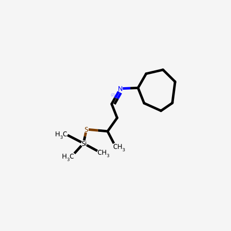 CC(C/C=N\C1CCCCCC1)S[Si](C)(C)C